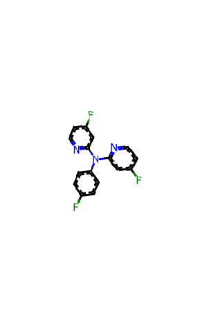 Fc1ccc(N(c2cc(F)ccn2)c2cc(F)ccn2)cc1